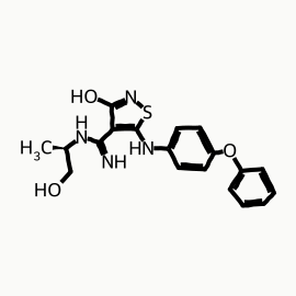 C[C@H](CO)NC(=N)c1c(O)nsc1Nc1ccc(Oc2ccccc2)cc1